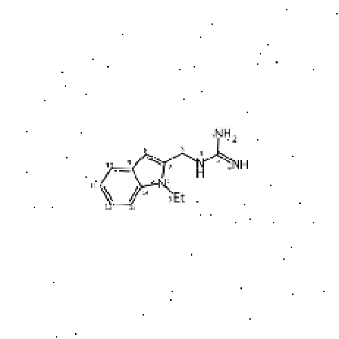 CCn1c(CNC(=N)N)cc2ccccc21